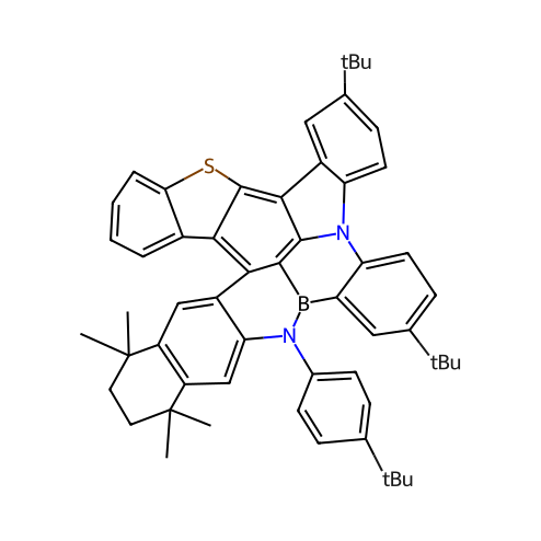 CC(C)(C)c1ccc(N2B3c4cc(C(C)(C)C)ccc4-n4c5ccc(C(C)(C)C)cc5c5c6sc7ccccc7c6c(c3c54)-c3cc4c(cc32)C(C)(C)CCC4(C)C)cc1